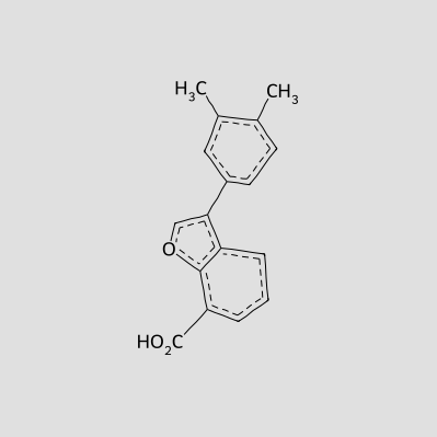 Cc1ccc(-c2coc3c(C(=O)O)cccc23)cc1C